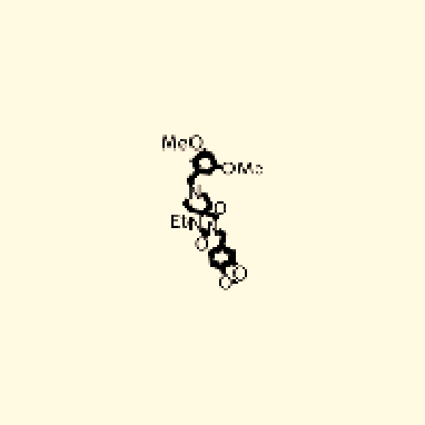 CCN1C(=O)N(Cc2ccc3c(c2)OCO3)C(=O)C12CCN(Cc1cc(OC)cc(OC)c1)CC2